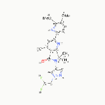 COc1ccc(-c2cc(C)c3c(n2)C(C)(C)N(c2cnn(CC(F)F)c2)C3=O)nc1OC